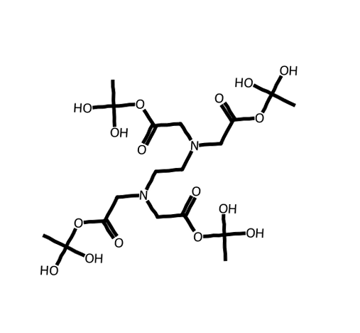 CC(O)(O)OC(=O)CN(CCN(CC(=O)OC(C)(O)O)CC(=O)OC(C)(O)O)CC(=O)OC(C)(O)O